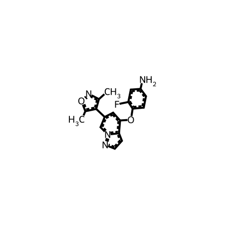 Cc1noc(C)c1-c1cc(Oc2ccc(N)cc2F)c2ccnn2c1